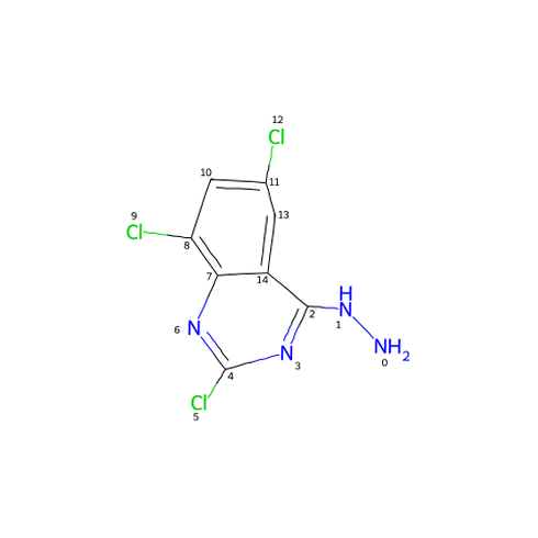 NNc1nc(Cl)nc2c(Cl)cc(Cl)cc12